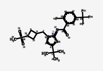 CC(C)(C)c1cn(CC2CN(S(C)(=O)=O)C2)/c(=N/C(=O)c2cc(C(F)(F)F)ccc2F)s1